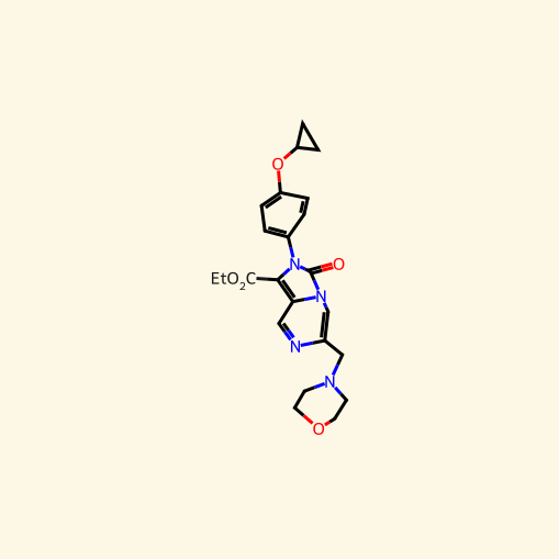 CCOC(=O)c1c2cnc(CN3CCOCC3)cn2c(=O)n1-c1ccc(OC2CC2)cc1